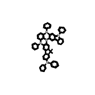 CC1(C)c2cc(N(c3ccccc3)c3ccccc3)ccc2-c2cc3c(cc21)B1c2cc4c5ccccc5n(-c5ccccc5)c4cc2N(c2ccccc2)c2cccc(c21)N3c1ccccc1